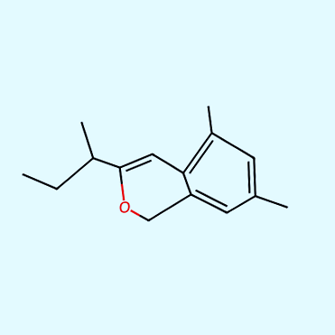 CCC(C)C1=Cc2c(C)cc(C)cc2CO1